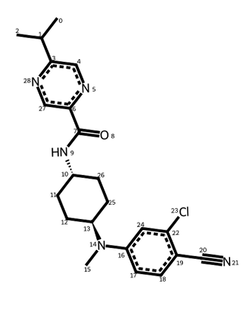 CC(C)c1cnc(C(=O)N[C@H]2CC[C@H](N(C)c3ccc(C#N)c(Cl)c3)CC2)cn1